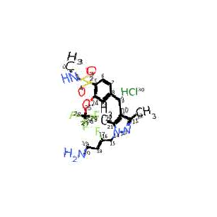 CNS(=O)(=O)c1ccc(Cc2c(C)nn(C/C(F)=C/CN)c2C)cc1OC(F)(F)F.Cl